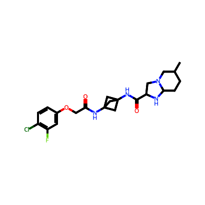 CC1CCC2NC(C(=O)NC34CC(NC(=O)COc5ccc(Cl)c(F)c5)(C3)C4)CN2C1